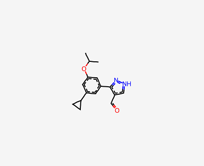 CC(C)Oc1cc(-c2n[nH]cc2C=O)cc(C2CC2)c1